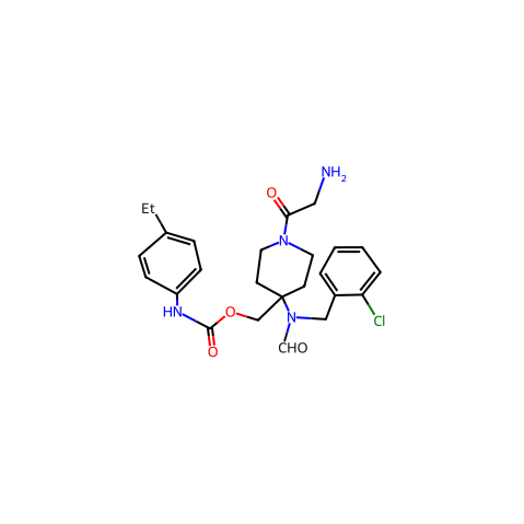 CCc1ccc(NC(=O)OCC2(N(C=O)Cc3ccccc3Cl)CCN(C(=O)CN)CC2)cc1